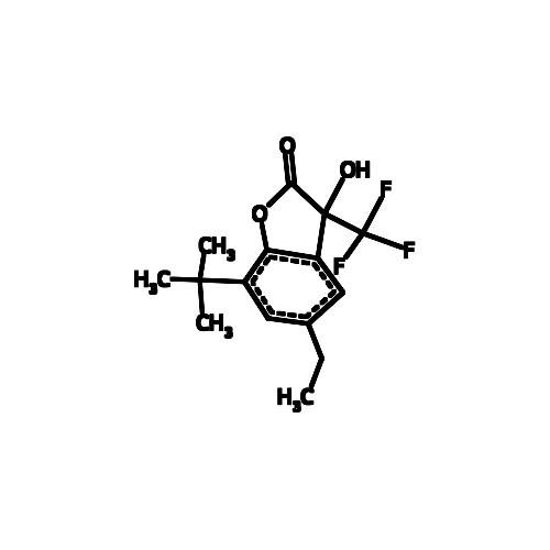 CCc1cc(C(C)(C)C)c2c(c1)C(O)(C(F)(F)F)C(=O)O2